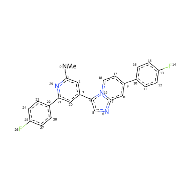 CNc1cc(-c2cnc3cc(-c4ccc(F)cc4)ccn23)cc(-c2ccc(F)cc2)n1